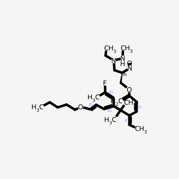 C=C(/C=C\C(=C/C)C(C)(C)C(/C=C(\C)F)=C/C=C/OCCCCC)OC[C@@H](CN(CC)NC)N=O